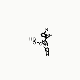 CCOc1nc(-c2c[nH]c3c(C#N)cccc23)cnc1NC1CCNC1.O=CO